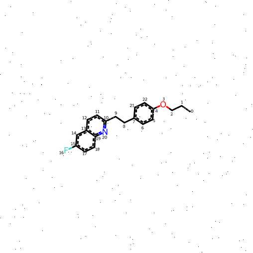 CCCOc1ccc(CCc2ccc3cc(F)ccc3n2)cc1